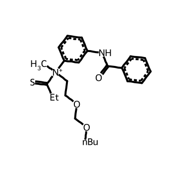 CCCCOCOCC[N+](C)(C(=S)CC)c1cccc(NC(=O)c2ccccc2)c1